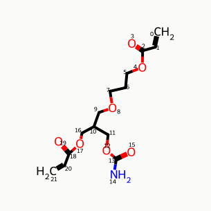 C=CC(=O)OCCCOCC(COC(N)=O)COC(=O)C=C